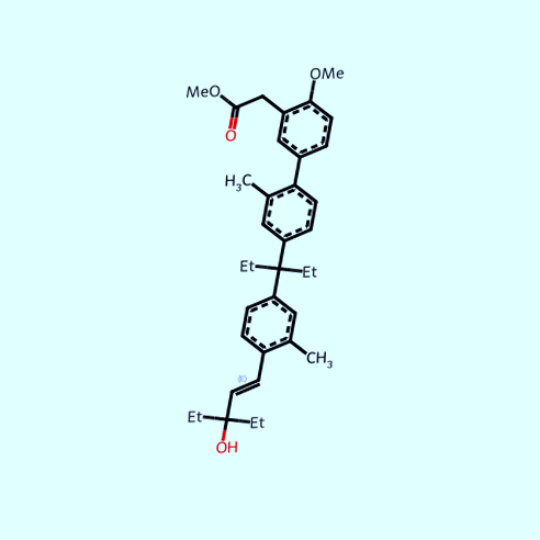 CCC(O)(/C=C/c1ccc(C(CC)(CC)c2ccc(-c3ccc(OC)c(CC(=O)OC)c3)c(C)c2)cc1C)CC